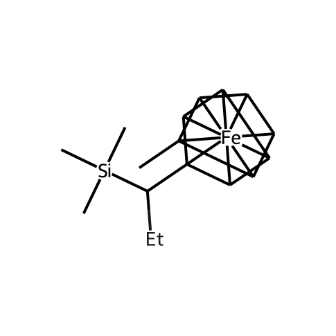 CCC([C]12[CH]3[CH]4[CH]5[CH]1[Fe]45321678[CH]2[CH]1[CH]6[C]7(C)[CH]28)[Si](C)(C)C